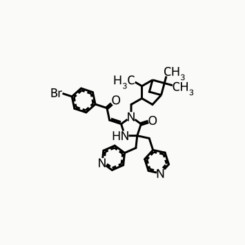 CC1C(CN2C(=O)C(Cc3ccncc3)(Cc3ccncc3)N/C2=C/C(=O)c2ccc(Br)cc2)CC2CC1C2(C)C